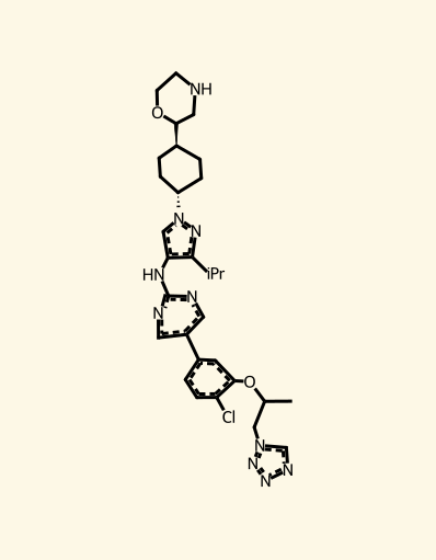 CC(Cn1cnnn1)Oc1cc(-c2cnc(Nc3cn([C@H]4CC[C@H](C5CNCCO5)CC4)nc3C(C)C)nc2)ccc1Cl